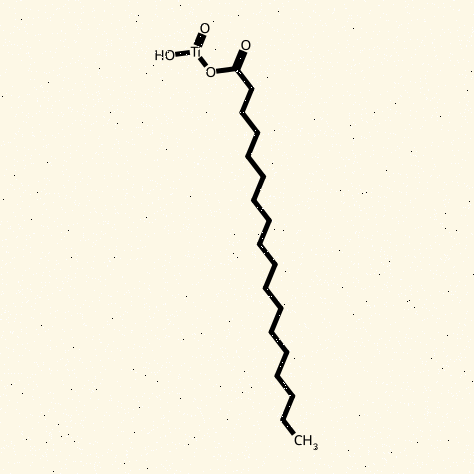 CCCCCCCCCCCCCCCCCC(=O)[O][Ti](=[O])[OH]